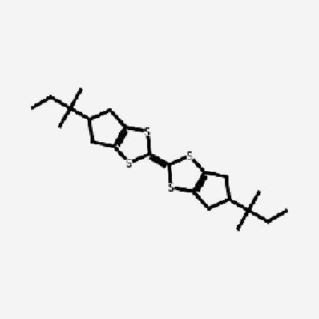 CCC(C)(C)C1CC2=C(C1)SC(=C1SC3=C(CC(C(C)(C)CC)C3)S1)S2